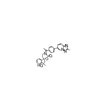 Cc1nc2ccc(-c3ccc([C@H](C)N4CCC(CC(C)(C)O)(c5ccccc5)OC4=O)cc3)cn2n1